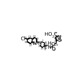 O=C(NCC1(F)CCN(c2ccc3cc(Cl)ccc3n2)CC1)OCc1cc(C(=O)O)no1